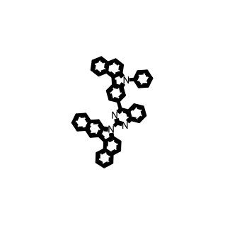 c1ccc(-n2c3cc(-c4nc(-n5c6cc7ccccc7cc6c6c7ccccc7ccc65)nc5ccccc45)ccc3c3c4ccccc4ccc32)cc1